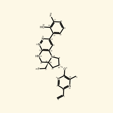 C=Cc1cnc(O[C@H]2CN3c4cc(-c5cccc(F)c5O)nnc4NC[C@@]3(CF)C2)c(C)n1